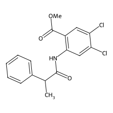 COC(=O)c1cc(Cl)c(Cl)cc1NC(=O)C(C)c1ccccc1